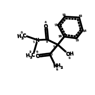 CN(C)C(=O)C(O)(C(N)=O)c1ccccc1